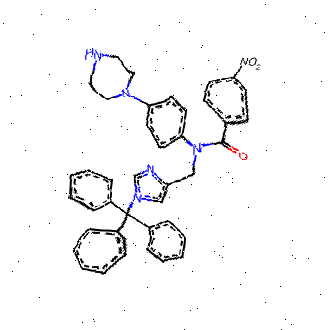 O=C(c1ccc([N+](=O)[O-])cc1)N(Cc1cn(C(c2ccccc2)(c2ccccc2)c2ccccc2)cn1)c1ccc(N2CCNCC2)cc1